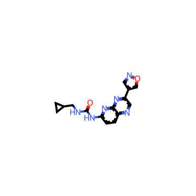 O=C(NCC1CC1)Nc1ccc2ncc(-c3cnoc3)nc2n1